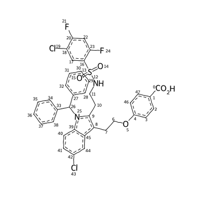 O=C(O)c1ccc(OCCc2c(CCNS(=O)(=O)c3cc(Cl)c(F)cc3F)n(C(c3ccccc3)c3ccccc3)c3ccc(Cl)cc23)cc1